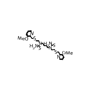 COc1cccnc1CSCCN(CCCCN(CCSCc1ncccc1OC)C(N)=S)C(N)=S